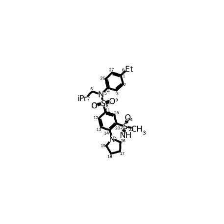 CCc1ccc(N(CC(C)C)S(=O)(=O)c2ccc(N3CCCC3)c(S(C)(=N)=O)c2)cc1